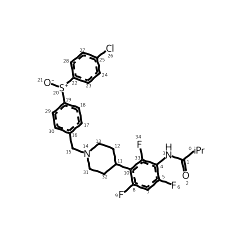 CC(C)C(=O)Nc1c(F)cc(F)c(C2CCN(Cc3ccc([S+]([O-])c4ccc(Cl)cc4)cc3)CC2)c1F